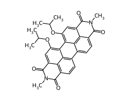 CC(C)Oc1cc2c3c(ccc4c5ccc6c7c(cc(OC(C)C)c(c1c34)c75)C(=O)N(C)C6=O)C(=O)N(C)C2=O